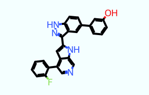 Oc1cccc(-c2ccc3[nH]nc(-c4cc5c(-c6ccccc6F)cncc5[nH]4)c3c2)c1